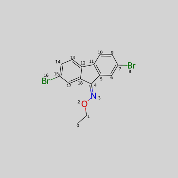 CCON=C1c2cc(Br)ccc2-c2ccc(Br)cc21